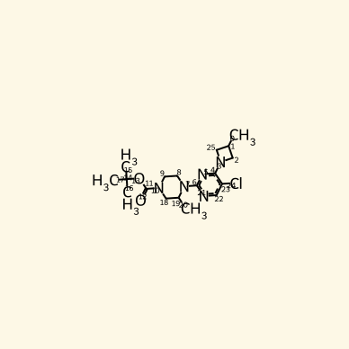 CC1CN(c2nc(N3CCN(C(=O)OC(C)(C)C)CC3C)ncc2Cl)C1